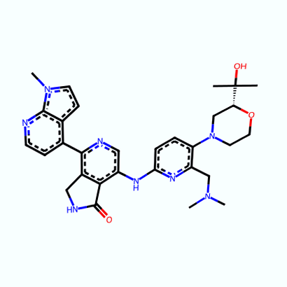 CN(C)Cc1nc(Nc2cnc(-c3ccnc4c3ccn4C)c3c2C(=O)NC3)ccc1N1CCO[C@@H](C(C)(C)O)C1